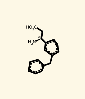 N[C@@H](CC(=O)O)c1cccc(Cc2ccccc2)c1